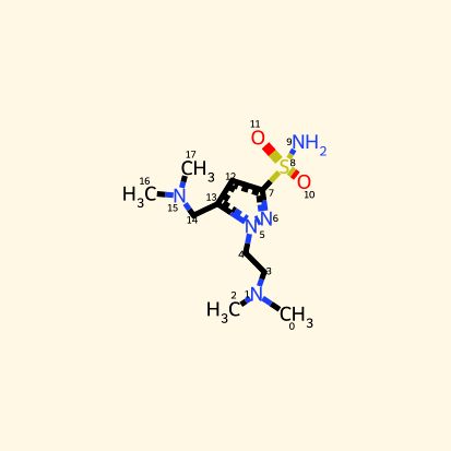 CN(C)CCn1nc(S(N)(=O)=O)cc1CN(C)C